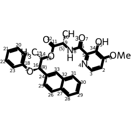 COc1ccnc(C(=O)N[C@@H](C)C(=O)O[C@@H](C)[C@H](Oc2ccccc2)c2ccc3ccccc3c2)c1O